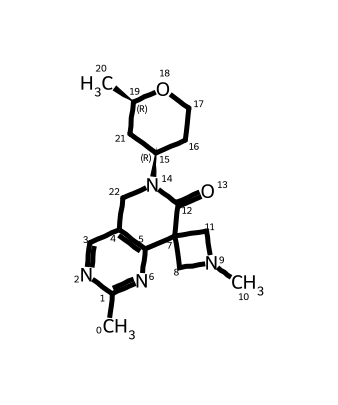 Cc1ncc2c(n1)C1(CN(C)C1)C(=O)N([C@@H]1CCO[C@H](C)C1)C2